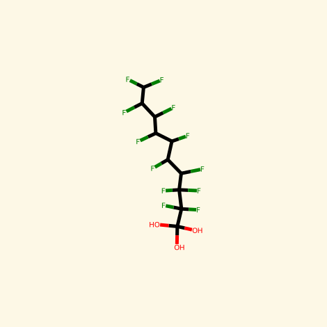 OC(O)(O)C(F)(F)C(F)(F)C(F)C(F)C(F)C(F)C(F)C(F)C(F)F